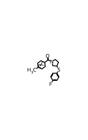 CC12CCC(C(=O)N3CCC(Sc4ccc(F)cc4)C3)(CC1)CC2